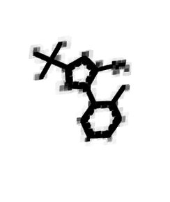 Cc1ccccc1-n1nc(C(C)(C)C)cc1N